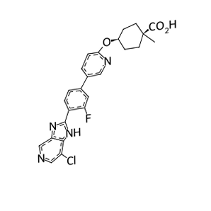 C[C@]1(C(=O)O)CC[C@@H](Oc2ccc(-c3ccc(-c4nc5cncc(Cl)c5[nH]4)c(F)c3)cn2)CC1